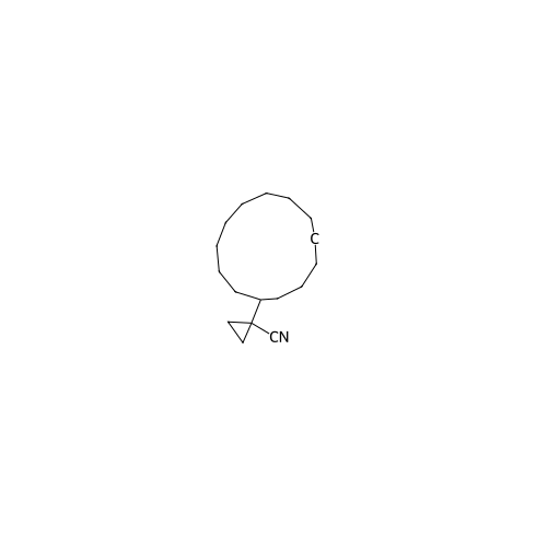 N#CC1(C2CCCCCCCCCCCC2)CC1